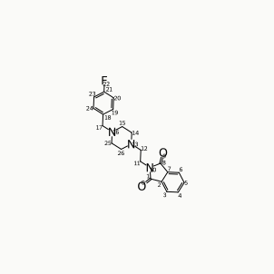 O=C1c2ccccc2C(=O)N1CCN1CCN(Cc2ccc(F)cc2)CC1